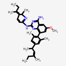 CC/C(C)=C\C(C)c1cc(C)c(-c2cc(OC)cc3c(N)nc(NC4=NC(C)/C(=C(/C)CC)C=C4)nc23)c(C)c1